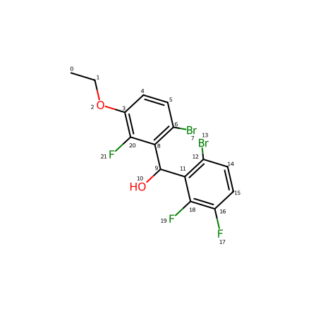 CCOc1ccc(Br)c(C(O)c2c(Br)ccc(F)c2F)c1F